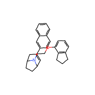 C1=C(c2ccc3ccccc3c2)CC2CCC1N2CCOc1cccc2c1CCC2